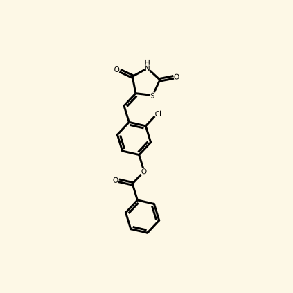 O=C1NC(=O)C(=Cc2ccc(OC(=O)c3ccccc3)cc2Cl)S1